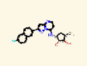 [CH2][C@@H]1C[C@@H](Nc2ccnc3cc(-c4ccc5cc(F)ccc5c4)nn23)[C@H](O)[C@@H]1O